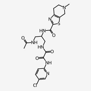 CC(=O)NCC(CNC(=O)C(=O)Nc1ccc(Cl)cn1)NC(=O)c1nc2c(s1)CN(C)CC2